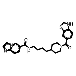 O=C(NCCCCC1CCN(C(=O)c2ccc3c(c2)SCN3)CC1)c1ccc2nccn2c1